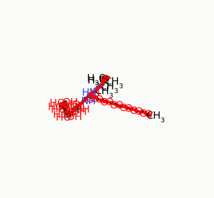 COCCOCCOCCOCCOCCOCCOCCOCCOCCOCCOCCOCC(=O)N(CCCNCCCC(=O)[C@H](O)[C@@H](O)[C@H](O)[C@H](O)CO[C@H]1O[C@H](CO[C@H]2O[C@H](CO)[C@@H](O)[C@H](O)[C@H]2O)[C@@H](O)[C@H](O)[C@H]1O)CCNC(=O)/C=C(C)/C=C/C=C(C)/C=C/C1=C(C)CCCC1(C)C